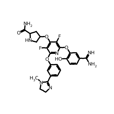 CN1CCN=C1c1cccc(Oc2nc(Oc3cc(C(=N)N)ccc3O)c(F)c(OC3CNC(C(N)=O)C3)c2F)c1